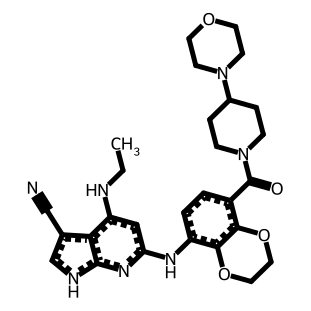 CCNc1cc(Nc2ccc(C(=O)N3CCC(N4CCOCC4)CC3)c3c2OCCO3)nc2[nH]cc(C#N)c12